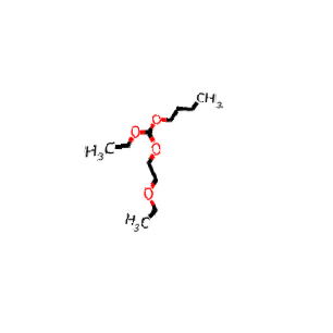 CCCCO[C](OCC)OCCOCC